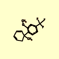 COc1cc(C(F)(F)F)ccc1C1(C)C=CC=CC1